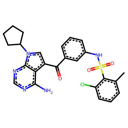 Cc1cccc(Cl)c1S(=O)(=O)Nc1cccc(C(=O)c2cn(C3CCCC3)c3ncnc(N)c23)c1